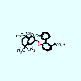 CC1(C)CCC(C)(C)c2cc(COc3cccc(CC(=O)O)c3-c3cccc(C(=O)O)c3)ccc21